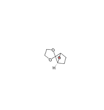 C1COC2(O1)C1CC[C@@H]2OC1